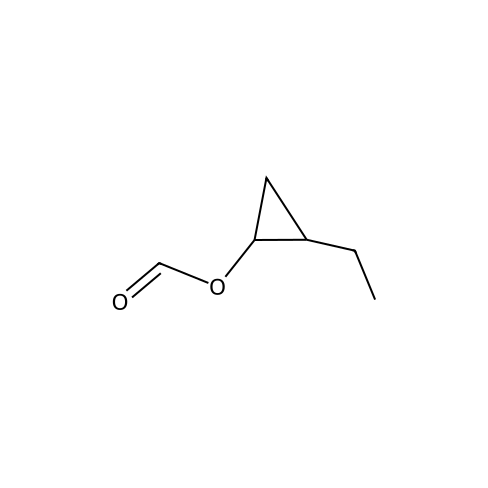 CCC1CC1OC=O